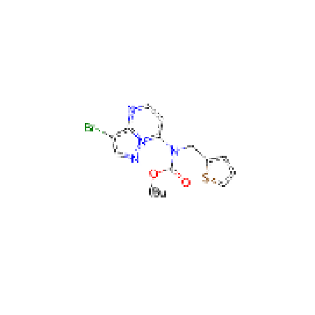 CC(C)(C)OC(=O)N(Cc1cccs1)c1ccnc2c(Br)cnn12